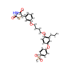 CCCc1cc(Oc2ccc(S(C)(=O)=O)cc2)ccc1OCCCCOc1cccc(C2SC(=O)NC2=O)c1